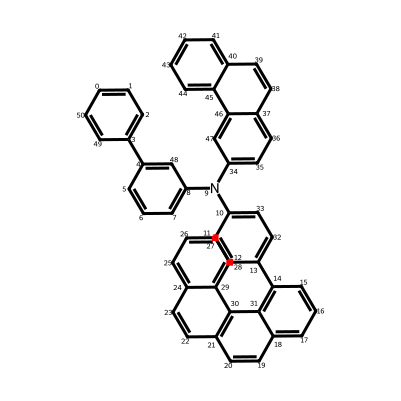 c1ccc(-c2cccc(N(c3ccc(-c4cccc5ccc6ccc7ccccc7c6c45)cc3)c3ccc4ccc5ccccc5c4c3)c2)cc1